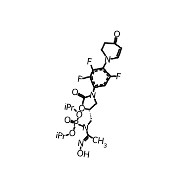 C/C(=N\O)N(C[C@H]1CN(c2cc(F)c(N3C=CC(=O)CC3)c(F)c2F)C(=O)O1)P(=O)(OC(C)C)OC(C)C